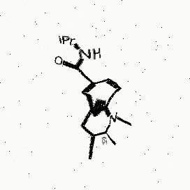 CC(C)NC(=O)c1ccc2c(c1)CC(C)[C@H](C)N2C